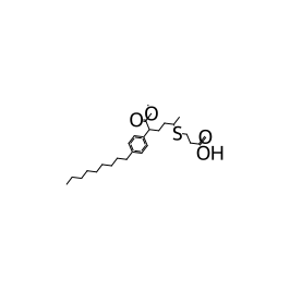 CCCCCCCCCc1ccc(C(CCC(C)SCCC(=O)O)C(=O)OC)cc1